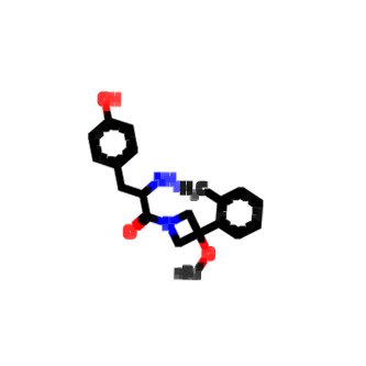 CCCCOC1(c2ccccc2C)CN(C(=O)C(N)Cc2ccc(O)cc2)C1